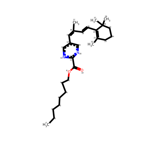 CCCCCCCCOC(=O)c1ncc(C=C(C)C=CC2=C(C)CCCC2(C)C)cn1